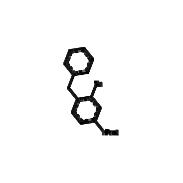 CCCCCc1ccc(Cc2ccccc2)[c]([Na])c1